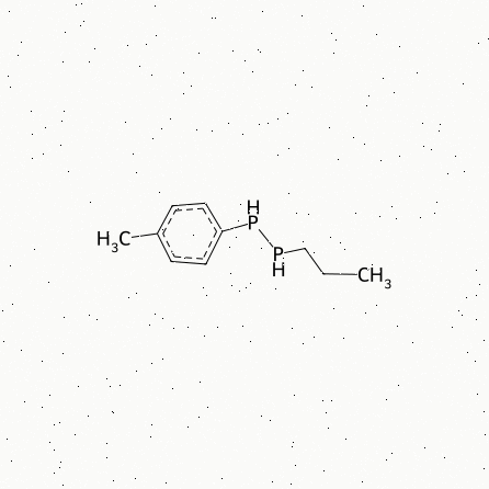 CCCPPc1ccc(C)cc1